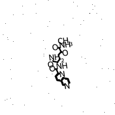 CNC(=O)C(=O)CCC(NC(=O)c1ccc2cnccc2n1)C(N)=O